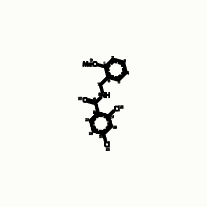 COc1ccccc1CNC(=O)c1ccc(Cl)cc1Cl